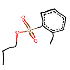 CCCOS(=O)(=O)c1ccccc1C